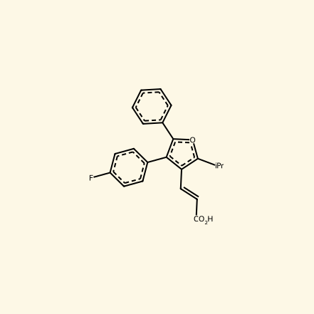 CC(C)c1oc(-c2ccccc2)c(-c2ccc(F)cc2)c1C=CC(=O)O